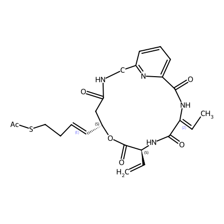 C=C[C@@H]1NC(=O)/C(=C/C)NC(=O)c2cccc(n2)CNC(=O)C[C@@H](/C=C/CCSC(C)=O)OC1=O